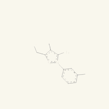 Cc1cccc(-n2nc(CC(C)C)c(O)c2C(C)(C)C)c1